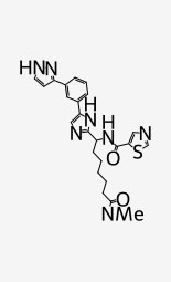 CNC(=O)CCCCCC(NC(=O)c1cncs1)c1ncc(-c2cccc(-c3cc[nH]n3)c2)[nH]1